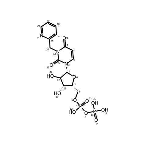 O=c1ccn([C@@H]2O[C@H](COP(=O)(O)OP(=O)(O)O)[C@H](O)C2O)c(=O)n1Cc1ccccn1